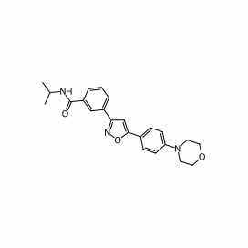 CC(C)NC(=O)c1cccc(-c2cc(-c3ccc(N4CCOCC4)cc3)on2)c1